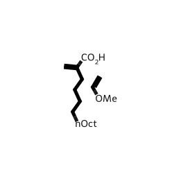 C=C(CCCCCCCCCCCC)C(=O)O.C=COC